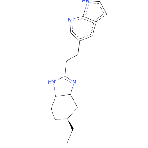 CC[C@H]1CCC2NC(CCc3cnc4[nH]ccc4c3)=NC2C1